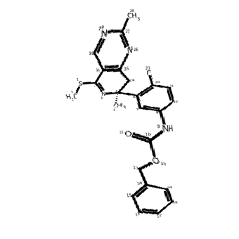 CSC1=N[C@](C)(c2cc(NC(=O)OCc3ccccc3)ccc2F)Cc2nc(C)ncc21